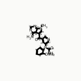 COc1ccccc1N(C(N)=O)c1cncc(C(=O)c2cn(C)c3ncnc(N)c23)c1